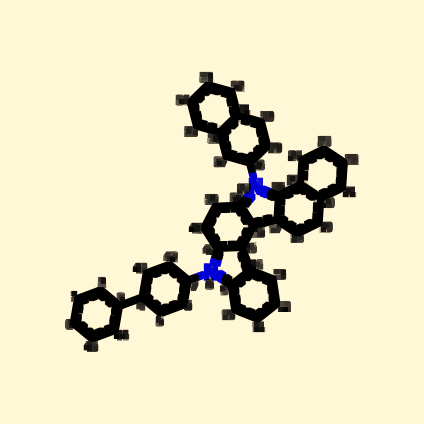 c1ccc(-c2ccc(-n3c4ccccc4c4c5c6ccc7ccccc7c6n(-c6ccc7ccccc7c6)c5ccc43)cc2)cc1